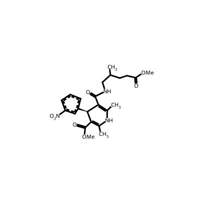 COC(=O)CCC(C)CNC(=O)C1=C(C)NC(C)=C(C(=O)OC)[C@H]1c1cccc([N+](=O)[O-])c1